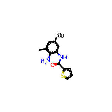 Cc1cc(C(C)(C)C)cc(NC(=O)c2cccs2)c1N